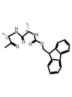 CC(=O)[C@H](C)NC(=O)[C@H](C)NC(=O)OCC1c2ccccc2-c2ccccc21